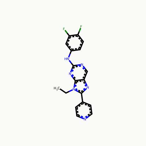 CCn1c(-c2ccncc2)nc2cnc(Nc3ccc(F)c(F)c3)nc21